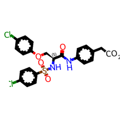 CCOC(=O)Cc1ccc(NC(=O)[C@H](COc2ccc(Cl)cc2)NS(=O)(=O)c2ccc(Cl)cc2)cc1